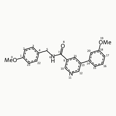 COc1ccc(CNC(=O)c2cncc(-c3cccc(OC)c3)c2)cc1